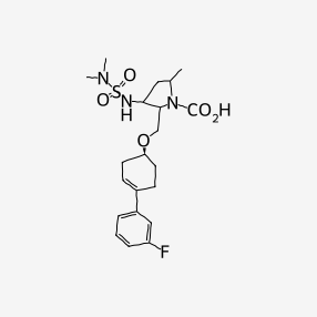 CC1CC(NS(=O)(=O)N(C)C)C(CO[C@@H]2CC=C(c3cccc(F)c3)CC2)N1C(=O)O